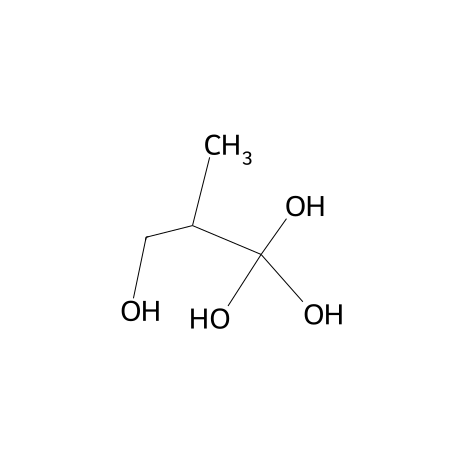 CC(CO)C(O)(O)O